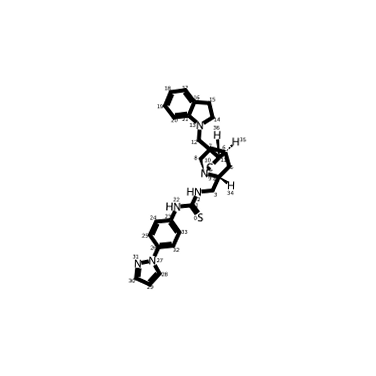 S=C(NC[C@H]1C[C@@H]2CC[N@@]1C[C@@H]2CN1CCc2ccccc21)Nc1ccc(-n2cccn2)cc1